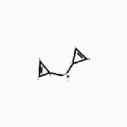 C1=CC1[Te]C1C=C1